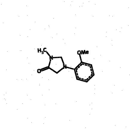 COc1ccccc1N1CC(=O)N(C)C1